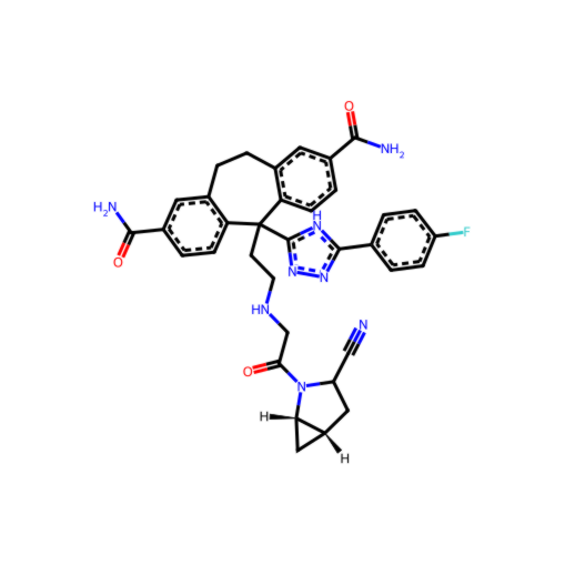 N#CC1C[C@@H]2C[C@@H]2N1C(=O)CNCCC1(c2nnc(-c3ccc(F)cc3)[nH]2)c2ccc(C(N)=O)cc2CCc2cc(C(N)=O)ccc21